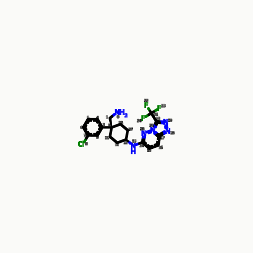 NC[C@]1(c2cccc(Cl)c2)CC[C@H](Nc2ccc3nnc(C(F)(F)F)n3n2)CC1